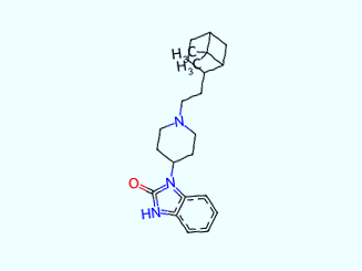 CC1(C)C2CCC(CCN3CCC(n4c(=O)[nH]c5ccccc54)CC3)C1C2